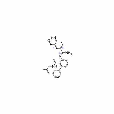 C=C(C)CNC(=C)c1c(/N=C(N)/C(/C=C(\C=N)C=O)=C/C)cccc1-c1ccccc1